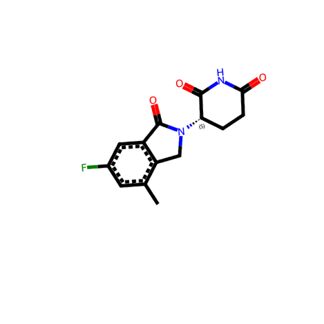 Cc1cc(F)cc2c1CN([C@H]1CCC(=O)NC1=O)C2=O